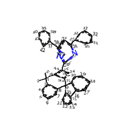 CC1(C)c2ccccc2C2(c3ccccc3-c3ccccc32)c2ccc(-c3nc(-c4ccccc4)cc(-c4ccccc4)n3)cc21